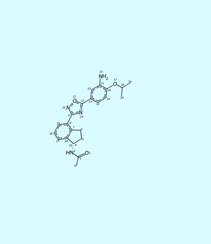 CC(=O)N[C@H]1CCc2c(-c3noc(-c4ccc(OC(C)C)c(N)c4)n3)cccc21